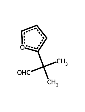 CC(C)(C=O)c1ccco1